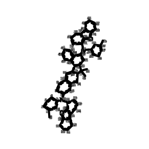 Cc1cccc(N(c2ccc3cc4c(cc3c2)C(C)(C)c2cc(N(c3cccc(C)c3)c3cccc5c3oc3ccccc35)c3ccccc3c2-4)c2cccc3c2oc2ccccc23)c1